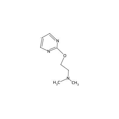 CN(C)CCOc1nc[c]cn1